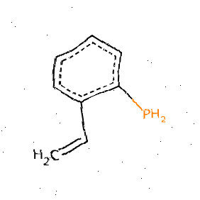 C=Cc1ccccc1P